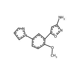 COc1ccc(-n2cccn2)cc1-c1cc(N)no1